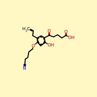 C=CCc1cc(C(=O)CCCC(=O)O)c(O)cc1OCCCCC#N